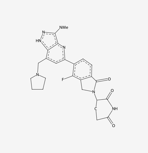 CNc1n[nH]c2c(CN3CCCC3)cc(-c3ccc4c(c3F)CN(C3CCC(=O)NC3=O)C4=O)nc12